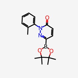 Cc1ccccc1-n1nc(B2OC(C)(C)C(C)(C)O2)ccc1=O